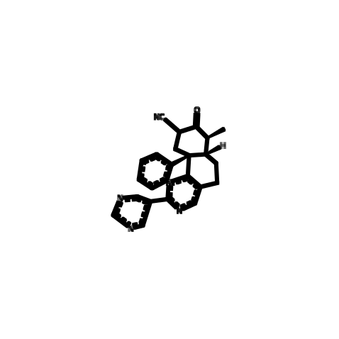 C[C@@H]1C(=O)C(C#N)C[C@@]2(c3ccccc3)c3nc(-c4cncnc4)ncc3CC[C@@H]12